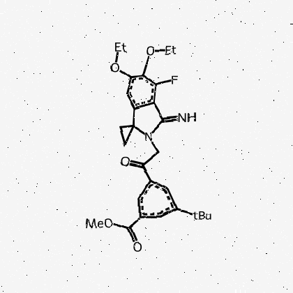 CCOc1cc2c(c(F)c1OCC)C(=N)N(CC(=O)c1cc(C(=O)OC)cc(C(C)(C)C)c1)C21CC1